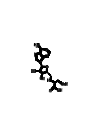 Nc1ncnc2c1ncn2[C@@H]1O[C@H](CN[C@@H](C[SeH])C(=O)O)[C@@H](O)[C@H]1O